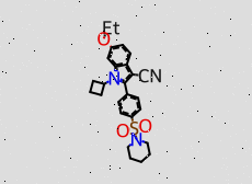 CCOc1ccc2c(C#N)c(-c3ccc(S(=O)(=O)N4CCCCC4)cc3)n(C3CCC3)c2c1